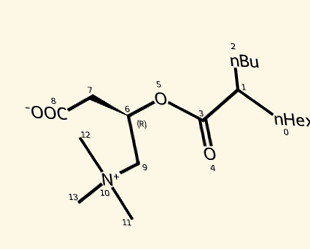 CCCCCCC(CCCC)C(=O)O[C@H](CC(=O)[O-])C[N+](C)(C)C